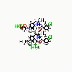 COC(CNC(C)Cc1ccc(N(C)C)cc1)c1cccc(Cl)c1.COC(CNC(C)Cc1ccc(N(C)C)cc1)c1cccc(Cl)c1.Cl.Cl.Cl.Cl.O